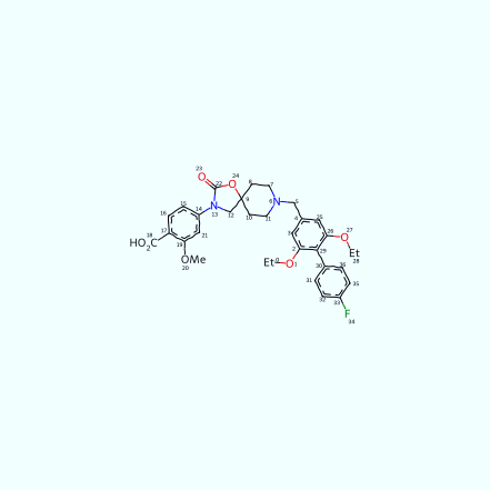 CCOc1cc(CN2CCC3(CC2)CN(c2ccc(C(=O)O)c(OC)c2)C(=O)O3)cc(OCC)c1-c1ccc(F)cc1